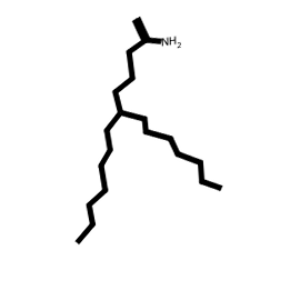 C=C(N)CCCC(CCCCCCC)CCCCCCC